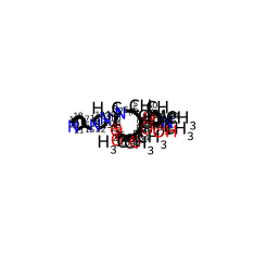 CO[C@]1(C)C[C@@H](C)CN(C)[C@H](CN2CCN(Cc3cccnc3)CC2)COC(=O)C(C)(C)C(=O)[C@H](C)[C@H]1O[C@@H]1O[C@H](C)C[C@H](N(C)C)[C@H]1O